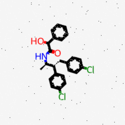 C[C@@H](NC(=O)C(O)c1ccccc1)[C@H](Cc1ccc(Cl)cc1)c1ccc(Cl)cc1